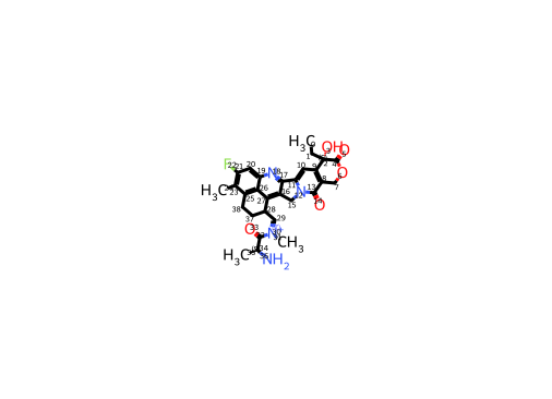 CC[C@@]1(O)C(=O)OCc2c1cc1n(c2=O)Cc2c-1nc1cc(F)c(C)c3c1c2C(/C=[N+](/C)C(=O)[C@H](C)N)CC3